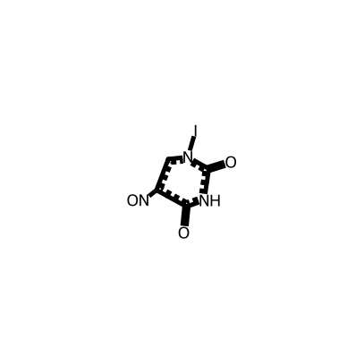 O=Nc1cn(I)c(=O)[nH]c1=O